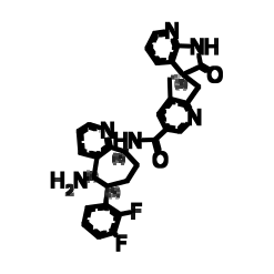 N[C@@H]1c2cccnc2[C@H](NC(=O)c2cnc3c(c2)C[C@@]2(C3)C(=O)Nc3ncccc32)CC[C@H]1c1cccc(F)c1F